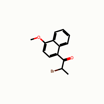 COc1ccc(C(=O)C(C)Br)c2ccccc12